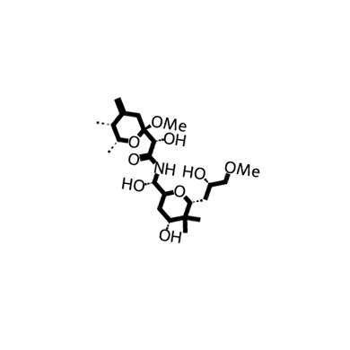 C=C1C[C@](OC)([C@H](O)C(=O)N[C@@H](O)C2C[C@@H](O)C(C)(C)[C@@H](C[C@H](O)COC)O2)O[C@H](C)[C@@H]1C